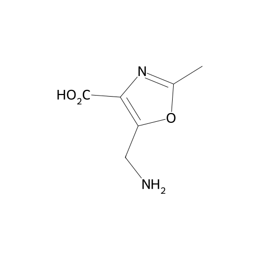 Cc1nc(C(=O)O)c(CN)o1